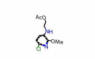 COc1nc(Cl)ccc1NCCOC(C)=O